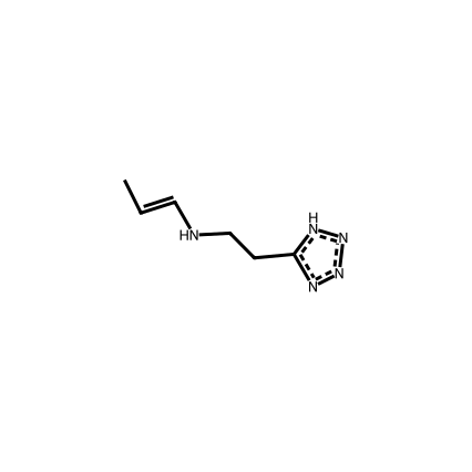 CC=CNCCc1nnn[nH]1